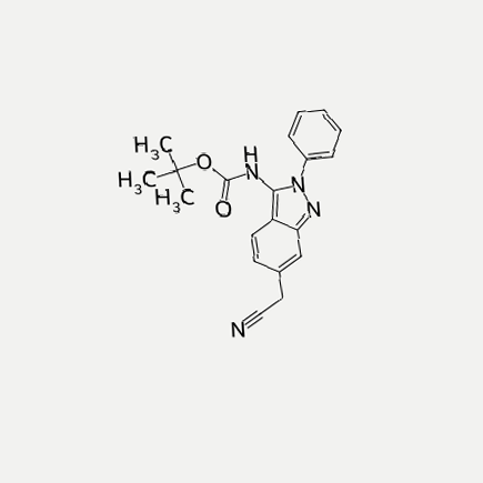 CC(C)(C)OC(=O)Nc1c2ccc(CC#N)cc2nn1-c1ccccc1